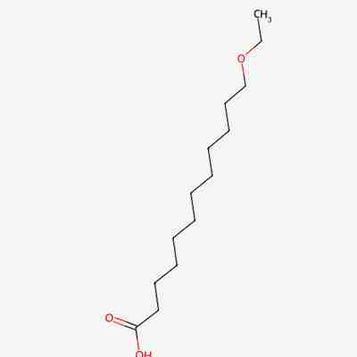 CCOCCCCCCCCCCCC(=O)O